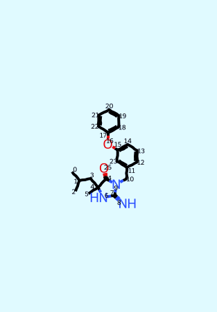 CC(C)CC1(C)NC(=N)N(Cc2cccc(Oc3ccccc3)c2)C1=O